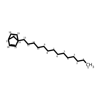 CCCCCCCCCCCCCCC12C=CC(CC1)C2